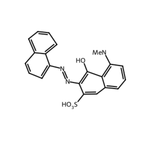 CNc1cccc2cc(S(=O)(=O)O)c(N=Nc3cccc4ccccc34)c(O)c12